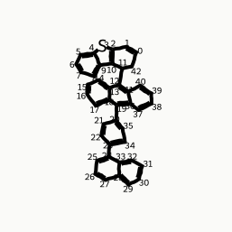 C1=Cc2sc3ccccc3c2C(c2c3ccccc3c(-c3ccc(-c4cccc5ccccc45)cc3)c3ccccc23)C1